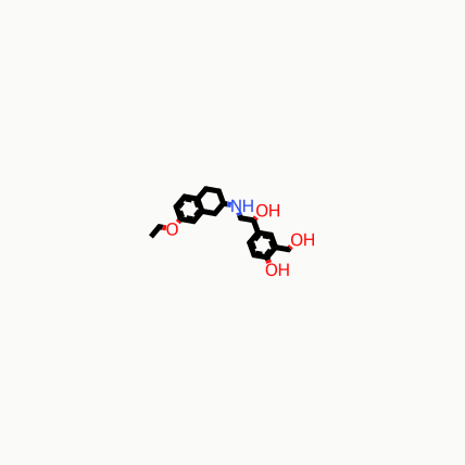 CCOc1ccc2c(c1)CC(NCC(O)c1ccc(O)c(CO)c1)CC2